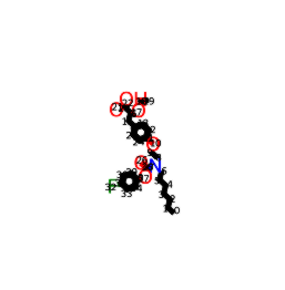 CCCCCCCN(CCOc1ccc(CC(OCC)C(=O)O)cc1)C(=O)Oc1ccc(F)cc1